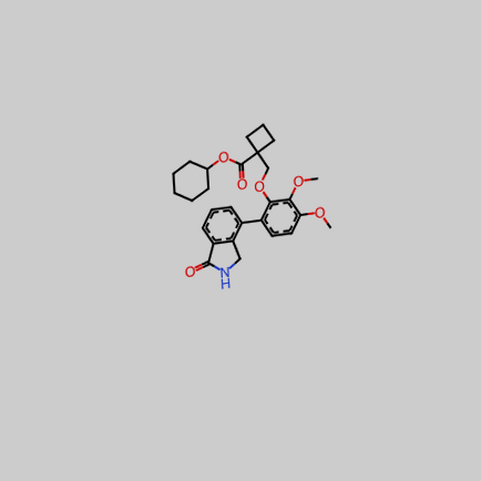 COc1ccc(-c2cccc3c2CNC3=O)c(OCC2(C(=O)OC3CCCCC3)CCC2)c1OC